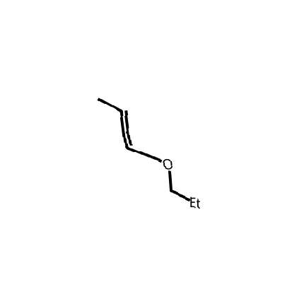 [CH2]CCOC=CC